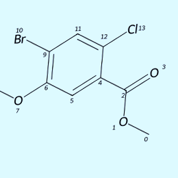 COC(=O)c1cc(OC)c(Br)cc1Cl